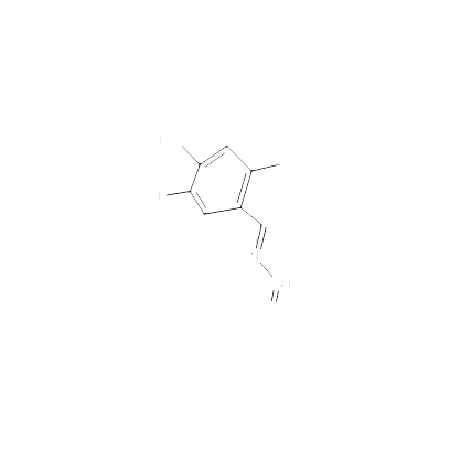 O=[SH]/N=C/c1cc(F)c(C(F)(F)F)cc1F